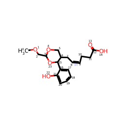 COCC1OCC(C/C=C\CCC(=O)O)C(c2ccccc2O)O1